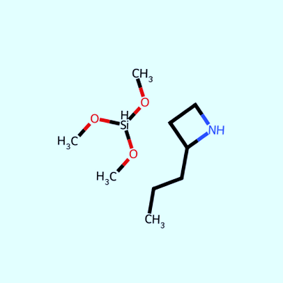 CCCC1CCN1.CO[SiH](OC)OC